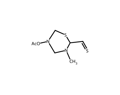 CC(=O)ON1CSC(C=S)N(C)C1